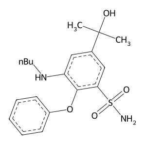 CCCCNc1cc(C(C)(C)O)cc(S(N)(=O)=O)c1Oc1ccccc1